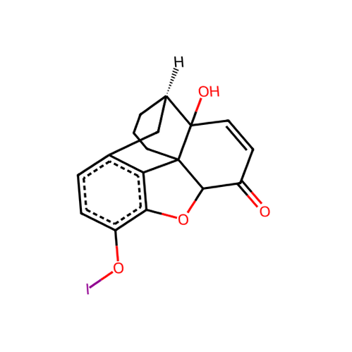 O=C1C=CC2(O)[C@@H]3CCCC24c2c(ccc(OI)c2OC14)C3